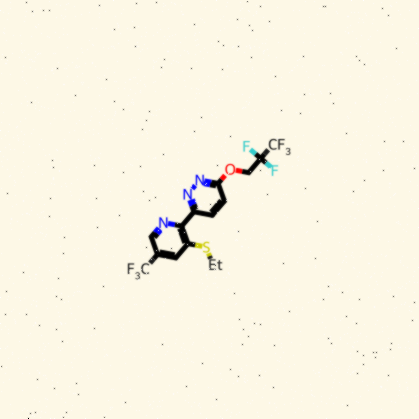 CCSc1cc(C(F)(F)F)cnc1-c1ccc(OCC(F)(F)C(F)(F)F)nn1